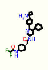 NC1(c2ccc(-c3ncc(NC(=O)C[C@H]4CC[C@H](NC(=O)C(F)F)CC4)cc3-c3ccccc3)cc2)CCC1